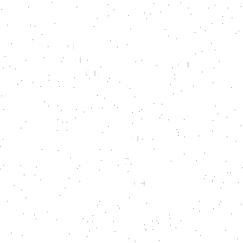 C.C=CCCC1=[C]([Zr+2]([CH3])([CH3])[CH]2c3ccccc3-c3ccccc32)CC=C1.[Cl-].[Cl-]